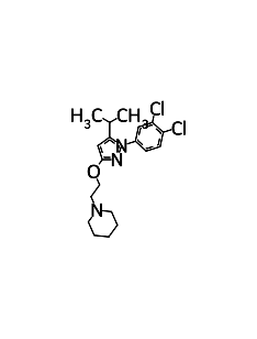 CC(C)c1cc(OCCN2CCCCC2)nn1-c1ccc(Cl)c(Cl)c1